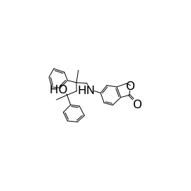 CC(O)(CC(C)(CNc1ccc2c(c1)COC2=O)c1ccccc1)c1ccccc1